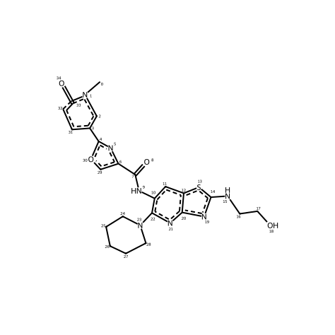 Cn1cc(-c2nc(C(=O)Nc3cc4sc(NCCO)nc4nc3N3CCCCC3)co2)ccc1=O